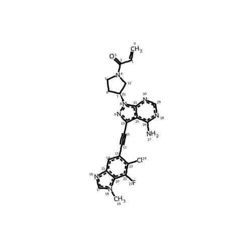 C=CC(=O)N1CC[C@H](n2nc(C#Cc3cc4ncn(C)c4c(F)c3Cl)c3c(N)ncnc32)C1